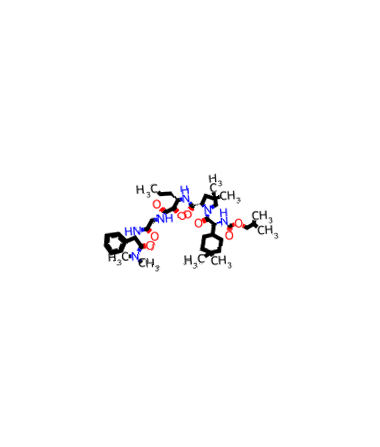 CCC[C@@H](NC(=O)[C@@H]1CC(C)(C)CN1C(=O)[C@@H](NC(=O)OCC(C)C)C1CCC(C)(C)CC1)C(=O)C(=O)NCC(=O)N[C@H](C(=O)N(C)C)c1ccccc1